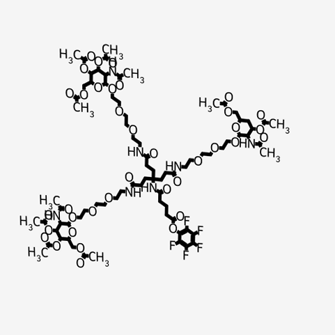 CC(=O)NC1C(OC(C)=O)CC(COC(C)=O)OC1OCCOCCOCCNC(=O)CCC(CCC(=O)NCCOCCOCCOC1OC(COC(C)=O)C(OC(C)=O)C(OC(C)=O)C1NC(C)=O)(CCC(=O)NCCOCCOCCOC1OC(COC(C)=O)C(OC(C)=O)C(OC(C)=O)C1NC(C)=O)NC(=O)CCCC(=O)Oc1c(F)c(F)c(F)c(F)c1F